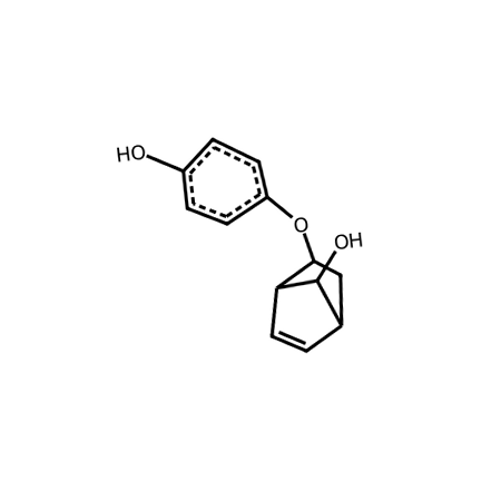 Oc1ccc(OC2CC3C=CC2C3O)cc1